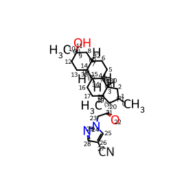 C[C@@H]1C[C@H]2[C@@H]3CC[C@H]4C[C@](C)(O)CC[C@@H]4[C@H]3CC[C@]2(C)[C@H]1C(=O)Cn1cc(C#N)cn1